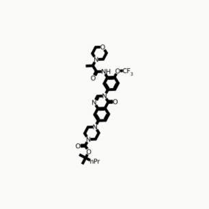 CCCC(C)(C)OC(=O)N1CCN(c2ccc3c(=O)n(-c4ccc(OC(F)(F)F)c(NC(=O)C(C)N5CCOCC5)c4)cnc3c2)CC1